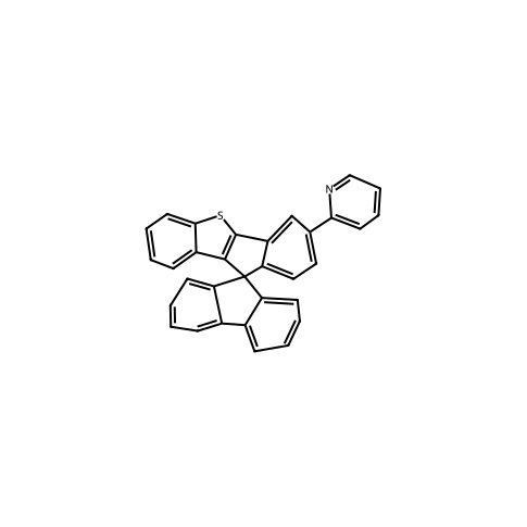 c1ccc(-c2ccc3c(c2)-c2sc4ccccc4c2C32c3ccccc3-c3ccccc32)nc1